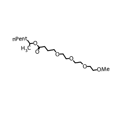 CCCCCC(C)OC(=O)CCCOCCOCCOCCOC